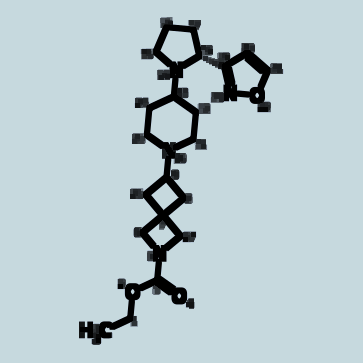 CCOC(=O)N1CC2(CC(N3CCC(N4CCC[C@@H]4c4ccon4)CC3)C2)C1